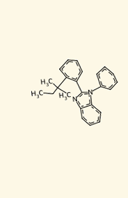 CCC(C)(C)c1ccccc1-c1nc2ccccc2n1-c1ccccc1